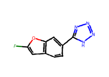 Fc1cc2ccc(-c3nnn[nH]3)cc2o1